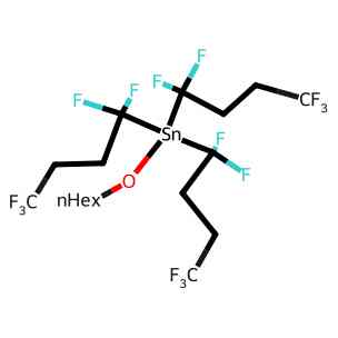 CCCCCC[O][Sn]([C](F)(F)CCC(F)(F)F)([C](F)(F)CCC(F)(F)F)[C](F)(F)CCC(F)(F)F